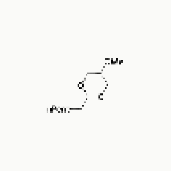 CCCCCCC1OCC(OC)CO1